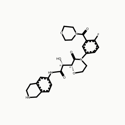 O=C(Nc1ccc2c(c1)CCNC2)[C@H](O)[C@H]1OCCN(c2ccc(F)c(C(=O)N3CCOCC3)c2)C1=O